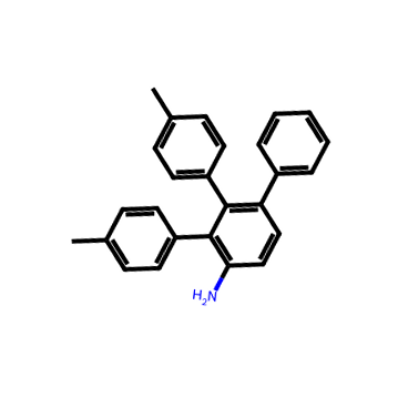 Cc1ccc(-c2c(N)ccc(-c3ccccc3)c2-c2ccc(C)cc2)cc1